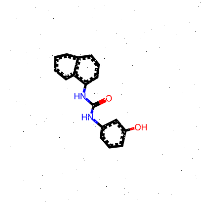 O=C(Nc1cccc(O)c1)Nc1cccc2ccccc12